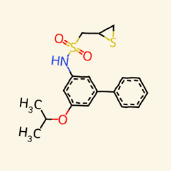 CC(C)Oc1cc(NS(=O)(=O)CC2CS2)cc(-c2ccccc2)c1